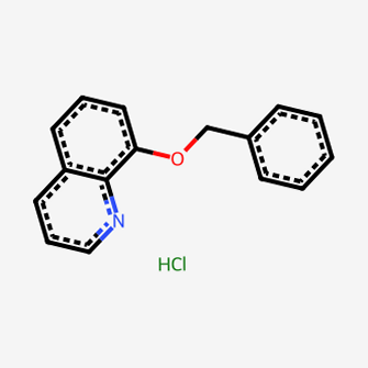 Cl.c1ccc(COc2cccc3cccnc23)cc1